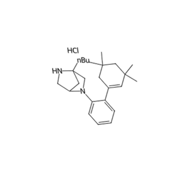 CCCCC12CC(CN1)N(c1ccccc1C1=CC(C)(C)CC(C)(C)C1)C2.Cl